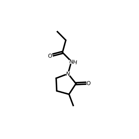 CCC(=O)NN1CCC(C)C1=O